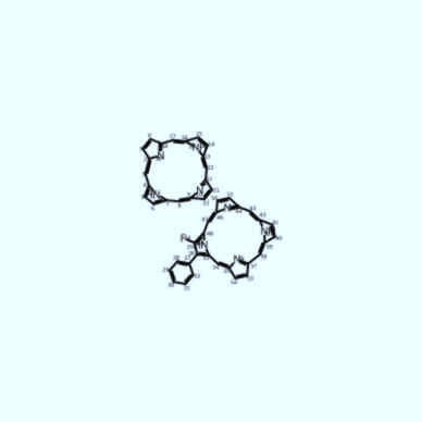 C1=Cc2cc3ccc(cc4nc(cc5ccc(cc1n2)[nH]5)C=C4)[nH]3.Fc1c(-c2ccccc2)c2cc3nc(cc4ccc(cc5nc(cc1[nH]2)C=C5)[nH]4)C=C3